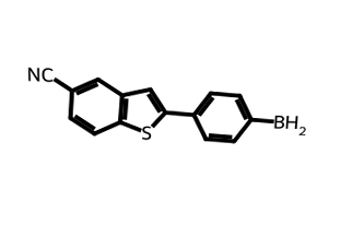 Bc1ccc(-c2cc3cc(C#N)ccc3s2)cc1